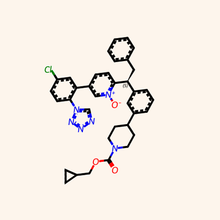 O=C(OCC1CC1)N1CCC(c2cccc([C@H](Cc3ccccc3)c3ccc(-c4cc(Cl)ccc4-n4cnnn4)c[n+]3[O-])c2)CC1